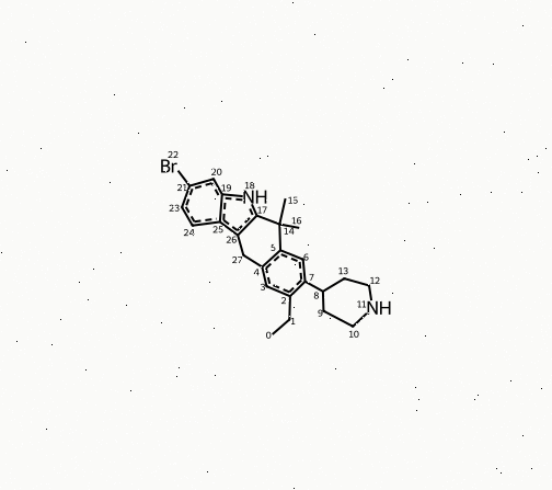 CCc1cc2c(cc1C1CCNCC1)C(C)(C)c1[nH]c3cc(Br)ccc3c1C2